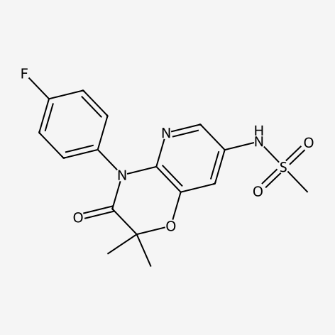 CC1(C)Oc2cc(NS(C)(=O)=O)cnc2N(c2ccc(F)cc2)C1=O